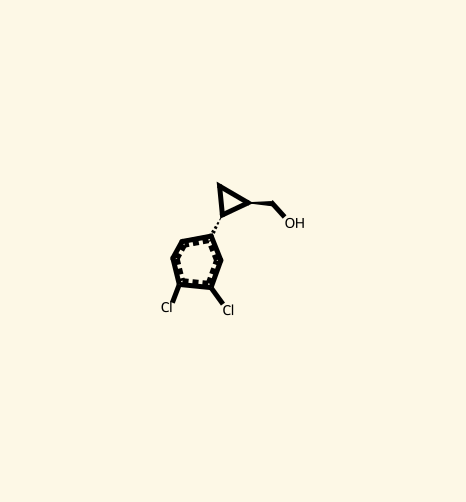 OC[C@@H]1C[C@H]1c1ccc(Cl)c(Cl)c1